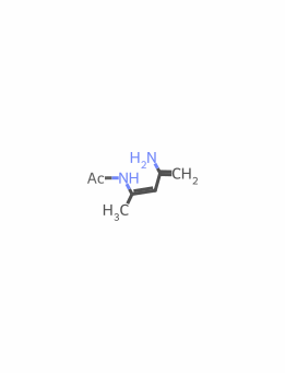 C=C(N)/C=C(/C)NC(C)=O